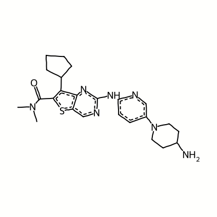 CN(C)C(=O)c1sc2cnc(Nc3ccc(N4CCC(N)CC4)cn3)nc2c1C1CCCC1